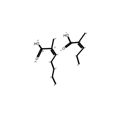 CCC=C(C)C(=O)O.CCCCC=C(C)C(=O)O